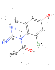 CCc1cc(O)cc(Cl)c1N(C(=N)N)C(=O)NC